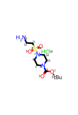 CC(C)(C)OC(=O)N1CCN(S(=O)(=O)CCN)CC1.Cl